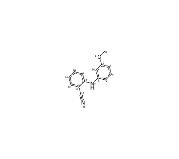 COc1cccc(Nc2ccccc2C#N)c1